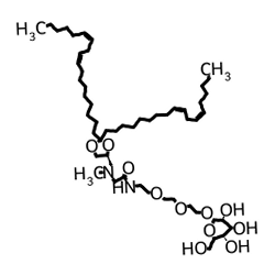 CCCCC/C=C\C/C=C\CCCCCCCCC1(CCCCCCCC/C=C\C/C=C\CCCCC)OC[C@H](CN(C)CC(=O)NCCOCCOCCO[C@@H]2OC(CO)[C@@H](O)C(O)[C@H]2O)O1